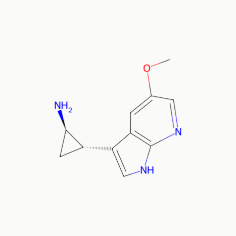 COc1cnc2[nH]cc([C@@H]3C[C@H]3N)c2c1